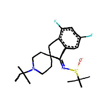 CC(C)(C)N1CCC2(CC1)Cc1c(F)cc(F)cc1/C2=N\[S@+]([O-])C(C)(C)C